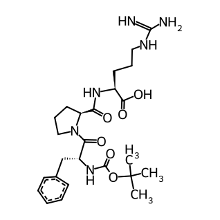 CC(C)(C)OC(=O)N[C@H](Cc1ccccc1)C(=O)N1CCC[C@H]1C(=O)N[C@@H](CCCNC(=N)N)C(=O)O